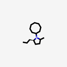 CCC[C@@H]1CCC(C)N1C1CCCCCCC1